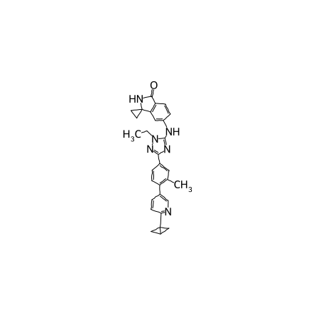 CCn1nc(-c2ccc(-c3ccc(C45CC4C5)nc3)c(C)c2)nc1Nc1ccc2c(c1)C1(CC1)NC2=O